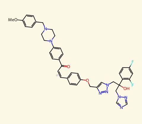 COc1ccc(CN2CCN(c3ccc(C(=O)/C=C\c4ccc(OCc5cn(CC(O)(Cn6cncn6)c6ccc(F)cc6F)nn5)cc4)cc3)CC2)cc1